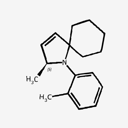 Cc1ccccc1N1[C@@H](C)C=CC12CCCCC2